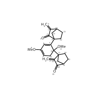 C=C1C(=O)C2(C3=CC(OC)=CCC3(OC)C34CCC(C3)C(=O)C4=C)CCC1C2